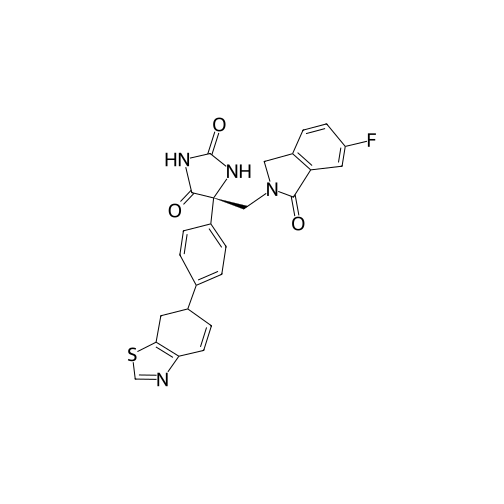 O=C1NC(=O)[C@@](CN2Cc3ccc(F)cc3C2=O)(c2ccc(C3C=Cc4ncsc4C3)cc2)N1